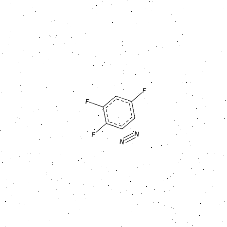 Fc1ccc(F)c(F)c1.N#N